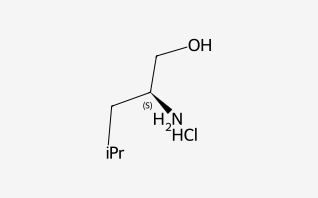 CC(C)C[C@H](N)CO.Cl